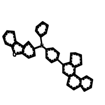 c1ccc(N(c2ccc(-c3cc4ccc5ccccc5c4c4ccccc34)cc2)c2ccc3oc4ccccc4c3c2)cc1